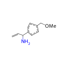 C=CC(N)c1ccc(COC)cc1